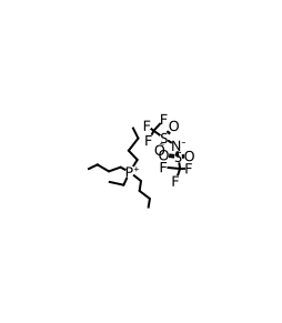 CCCC[P+](CC)(CCCC)CCCC.O=S(=O)([N-]S(=O)(=O)C(F)(F)F)C(F)(F)F